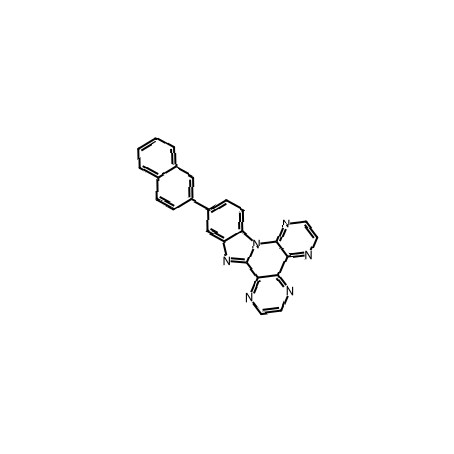 c1ccc2cc(-c3ccc4c(c3)nc3c5nccnc5c5nccnc5n43)ccc2c1